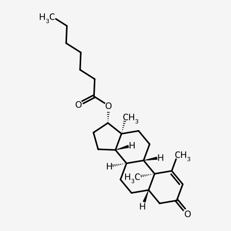 CCCCCCC(=O)O[C@H]1CC[C@H]2[C@@H]3CC[C@H]4CC(=O)C=C(C)[C@]4(C)[C@H]3CC[C@]12C